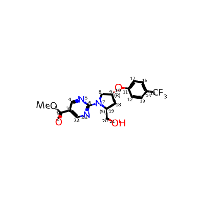 COC(=O)c1cnc(N2C[C@H](Oc3ccc(C(F)(F)F)cc3)C[C@H]2CO)nc1